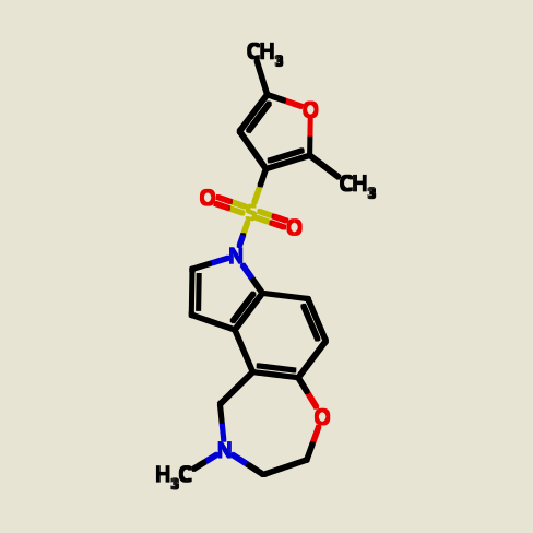 Cc1cc(S(=O)(=O)n2ccc3c4c(ccc32)OCCN(C)C4)c(C)o1